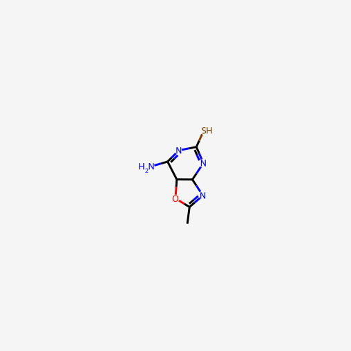 CC1=NC2N=C(S)N=C(N)C2O1